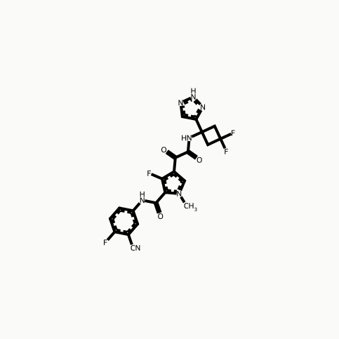 Cn1cc(C(=O)C(=O)NC2(c3cn[nH]n3)CC(F)(F)C2)c(F)c1C(=O)Nc1ccc(F)c(C#N)c1